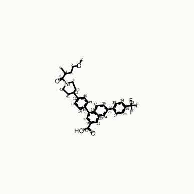 COCCC(C)C(=O)N1CCC(c2ccc(-c3cc(C(=O)O)cc4cc(-c5ccc(C(F)(F)F)cc5)ccc34)cc2)CC1